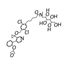 CN(C[C@H](O)[C@@H](O)[C@H](O)[C@H](O)CO)C(=O)CCCCc1cc(Cl)c(COC2(c3cnccc3-c3ccccc3OC3COC3)CC2)cc1Cl